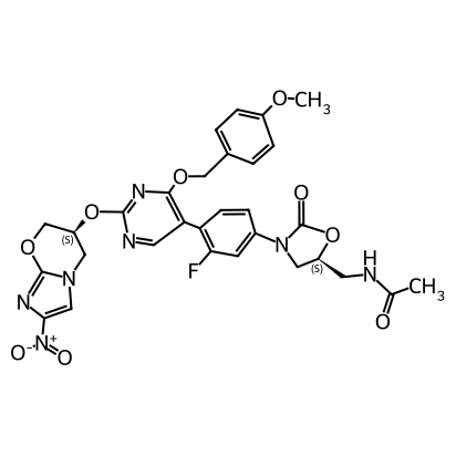 COc1ccc(COc2nc(O[C@@H]3COc4nc([N+](=O)[O-])cn4C3)ncc2-c2ccc(N3C[C@H](CNC(C)=O)OC3=O)cc2F)cc1